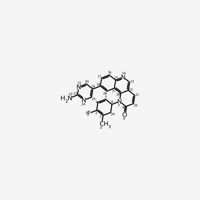 CC1=C(F)C=CC(n2c(=O)ccc3cnc4ccc(-c5cnc(N)nc5)cc4c32)C1